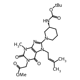 COC(=O)Cn1c(=O)c2c(nc(N3CCC[C@H](NC(=O)OC(C)(C)C)C3)n2CC=C(C)C)n(C)c1=O